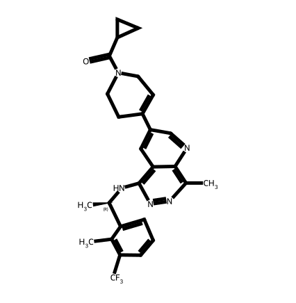 Cc1c([C@@H](C)Nc2nnc(C)c3ncc(C4=CCN(C(=O)C5CC5)CC4)cc23)cccc1C(F)(F)F